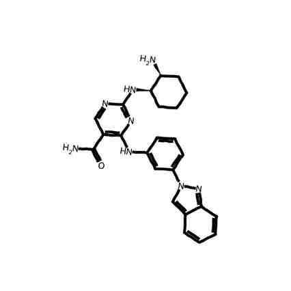 NC(=O)c1cnc(N[C@@H]2CCCC[C@@H]2N)nc1Nc1cccc(-n2cc3ccccc3n2)c1